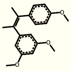 COc1ccc(C(C)=C(C)c2cc(OC)cc(OC)c2)cc1